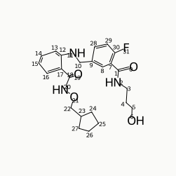 O=C(NCCCO)c1cc(CNc2ccccc2C(=O)NOCC2CCCC2)ccc1F